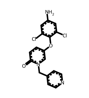 Nc1cc(Cl)c(Oc2ccc(=O)n(Cc3ccncc3)c2)c(Cl)c1